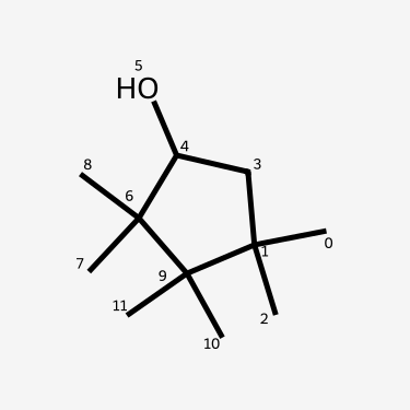 CC1(C)CC(O)C(C)(C)C1(C)C